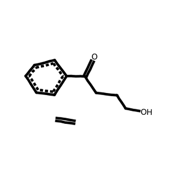 C=C.O=C(CCCO)c1ccccc1